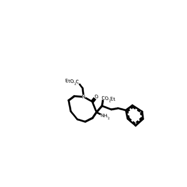 CCOC(=O)CN1CCCCCCC(N)(C(CCc2ccccc2)C(=O)OCC)C1=O